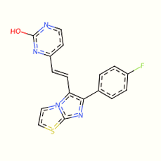 Oc1nccc(C=Cc2c(-c3ccc(F)cc3)nc3sccn23)n1